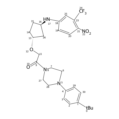 CC(C)(C)c1ccc(N2CCN(C(=O)CO[C@@H]3CC[C@@H](Nc4ccc([N+](=O)[O-])c(C(F)(F)F)c4)C3)CC2)cc1